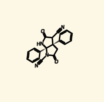 N#CC1C(=O)N[C@]2(c3ccccc3)N(C#N)C(=O)C[C@]12c1ccccc1